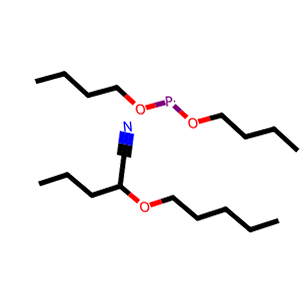 CCCCCOC(C#N)CCC.CCCCO[P]OCCCC